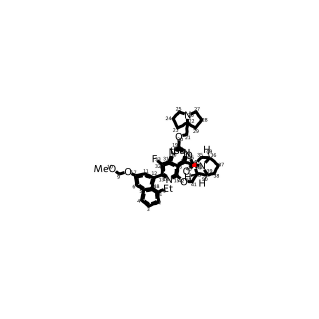 CCc1cccc2cc(OCOC)cc(-c3nc4c5c(nc(OCC67CCCN6CCC7)nc5c3F)N3C[C@H]5CC[C@@H]([C@@H]3CO4)N5C(=O)OC(C)(C)C)c12